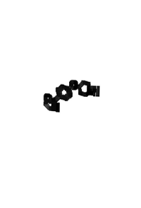 c1cc(C2=NCCO2)ccc1OC1CCNCC1